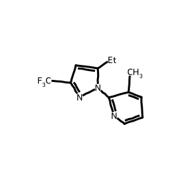 CCc1cc(C(F)(F)F)nn1-c1ncccc1C